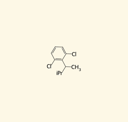 CC(C)C(C)c1c(Cl)cccc1Cl